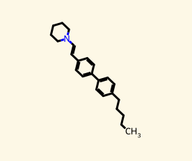 CCCCCc1ccc(-c2ccc(C=CN3CCCCC3)cc2)cc1